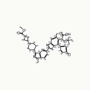 COC(=O)N1CC(N2CCC(c3nn(C)c4ccc(-c5nc6cc(C)c(C(OC(C)(C)C)C(=O)O)c(-c7ccc(Cl)cc7)c6s5)nc34)CC2)C1